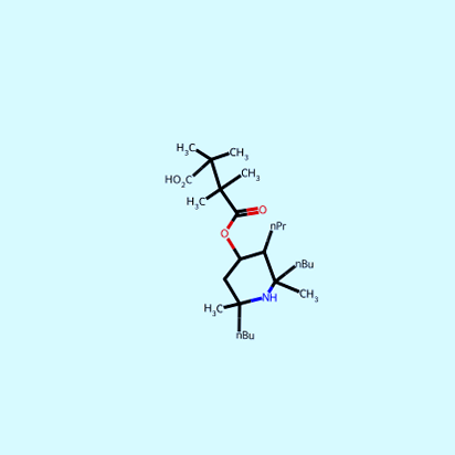 CCCCC1(C)CC(OC(=O)C(C)(C)C(C)(C)C(=O)O)C(CCC)C(C)(CCCC)N1